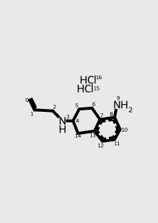 C=CCNC1CCc2c(N)cccc2C1.Cl.Cl